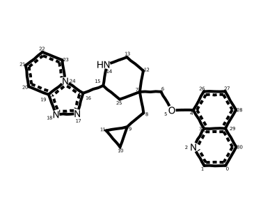 c1cnc2c(OCC3(CC4CC4)CCNC(c4nnc5ccccn45)C3)cccc2c1